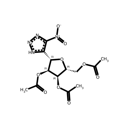 CC(=O)OC[C@H]1O[C@@H](c2[nH]nnc2[N+](=O)[O-])[C@H](OC(C)=O)[C@@H]1OC(C)=O